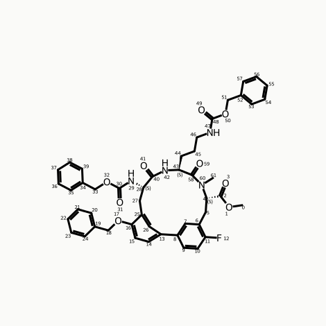 COC(=O)[C@@H]1Cc2cc(ccc2F)-c2ccc(OCc3ccccc3)c(c2)C[C@H](NC(=O)OCc2ccccc2)C(=O)N[C@@H](CCCNC(=O)OCc2ccccc2)C(=O)N1C